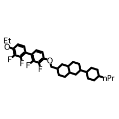 CCCC1CCC(C2CCC3CC(COc4ccc(-c5ccc(OCC)c(F)c5F)c(F)c4F)CCC3C2)CC1